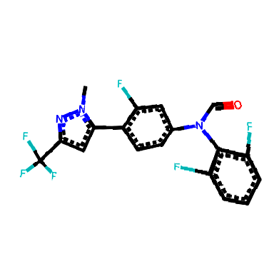 Cn1nc(C(F)(F)F)cc1-c1ccc(N(C=O)c2c(F)cccc2F)cc1F